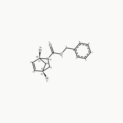 O=C(OCc1ccccc1)N1C[C@@H]2C=C[C@H]1C2